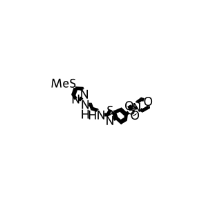 CSc1cnc(NCCCNc2nc3ccc(S(=O)(=O)N4CCOCC4)cc3s2)nc1